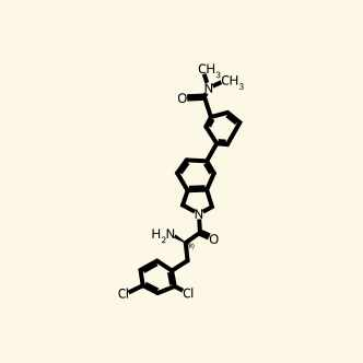 CN(C)C(=O)c1cccc(-c2ccc3c(c2)CN(C(=O)[C@H](N)Cc2ccc(Cl)cc2Cl)C3)c1